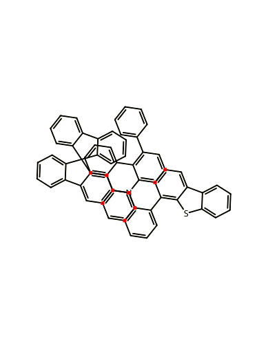 c1ccc(-c2ccccc2-c2c(-c3ccccc3)cccc2N(c2ccc3c(c2)C2(c4ccccc4-c4ccccc42)c2ccccc2-3)c2ccccc2-c2cccc3c2sc2ccccc23)cc1